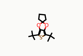 CC(C)(C)c1sc(C(C)(C)C)c2c1OC1(CCCC1)O2